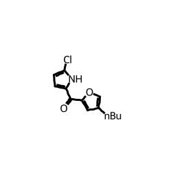 CCCCc1coc(C(=O)c2ccc(Cl)[nH]2)c1